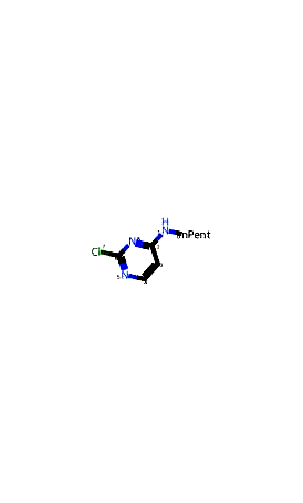 CCCCCNc1ccnc(Cl)n1